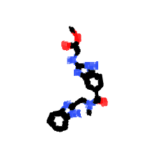 COC(=O)CNc1nc2cc(C(=O)N(C)Cc3nc4ccccc4[nH]3)ccc2[nH]1